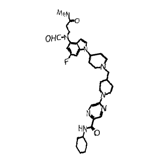 CNC(=O)CCN(C=O)c1cc(F)cc2c1ccn2C1CCN(CC2CCN(c3cnc(C(=O)NC4CCCCC4)cn3)CC2)CC1